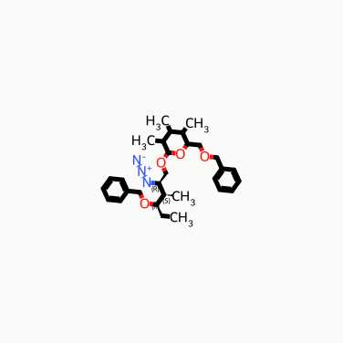 CC[C@@H](OCc1ccccc1)[C@@H](C)[C@H](COC1OC(COCc2ccccc2)C(C)C(C)C1C)N=[N+]=[N-]